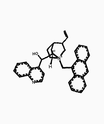 C=CC1C[N+]2(Cc3c4ccccc4cc4ccccc34)CCC1C[C@H]2C(O)c1ccnc2ccccc12